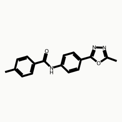 Cc1ccc(C(=O)Nc2ccc(-c3nnc(C)o3)cc2)cc1